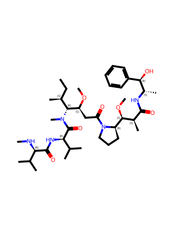 CC[C@H](C)[C@H]([C@H](CC(=O)N1CCC[C@@H]1[C@@H](OC)[C@H](C)C(=O)N[C@@H](C)[C@H](O)c1ccccc1)OC)N(C)C(=O)[C@H](NC(=O)[C@H](NC)C(C)C)C(C)C